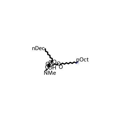 CCCCCCCC/C=C\CCCCCCCC(=O)OCC(COP(=O)(O)OCCNC)OC(=O)CCCCCCCCCCCCCCCCC